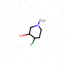 CCOC(=O)N1CCC(Br)C(O)C1